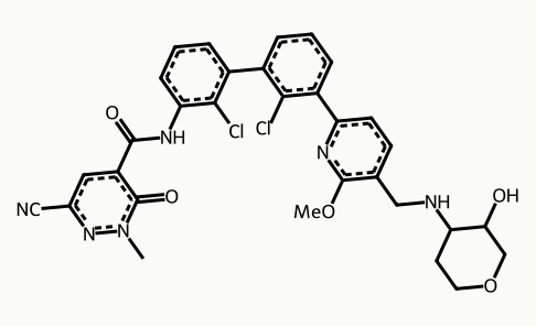 COc1nc(-c2cccc(-c3cccc(NC(=O)c4cc(C#N)nn(C)c4=O)c3Cl)c2Cl)ccc1CNC1CCOCC1O